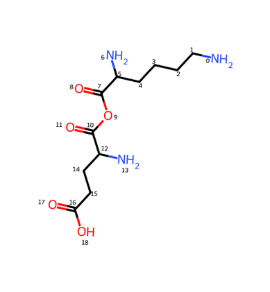 NCCCCC(N)C(=O)OC(=O)C(N)CCC(=O)O